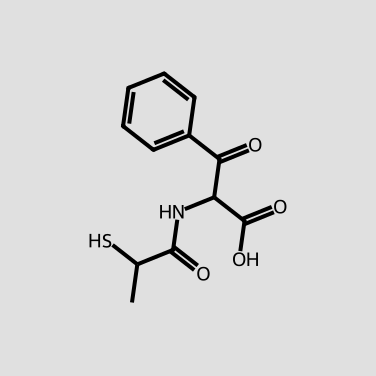 CC(S)C(=O)NC(C(=O)O)C(=O)c1ccccc1